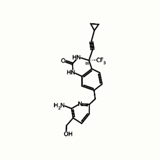 Nc1nc(Cc2ccc3c(c2)NC(=O)N[C@]3(C#CC2CC2)C(F)(F)F)ccc1CO